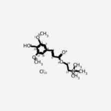 COc1cc(C=CC(=O)OCC[N+](C)(C)C)cc(OC)c1O.[Cl-]